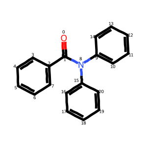 O=C(c1[c]cccc1)N(c1ccccc1)c1ccccc1